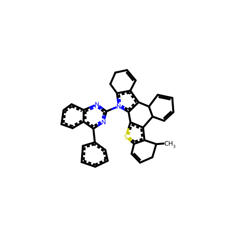 CC1CC=Cc2sc3c(c21)C1C=CC=CC1c1c2c(n(-c4nc(-c5ccccc5)c5ccccc5n4)c1-3)CCC=C2